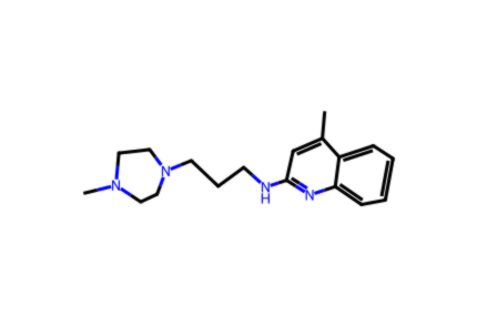 Cc1cc(NCCCN2CCN(C)CC2)nc2ccccc12